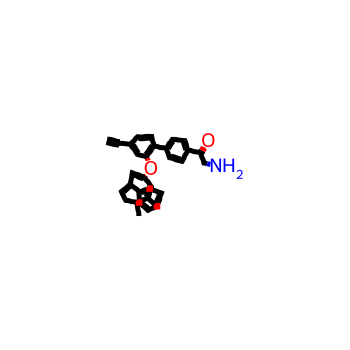 C#Cc1ccc(-c2ccc(C(=O)CN)cc2)c(OC2=C/C(c3ccccc3)=C/CC(C)/C(C)=C\2)c1